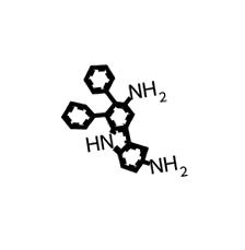 Nc1ccc2[nH]c3c(-c4ccccc4)c(-c4ccccc4)c(N)cc3c2c1